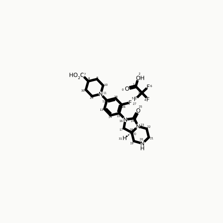 O=C(O)C(F)(F)F.O=C(O)C1CCN(c2ccc(N3C[C@@H]4CNCCN4C3=O)c(F)c2)CC1